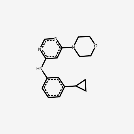 c1cc(Nc2cc(N3CCOCC3)ncn2)cc(C2CC2)c1